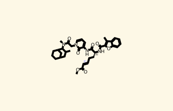 COC(=O)/C=C/CC[C@H](NC(=O)c1oc2ccccc2c1C)C(=O)Nc1cccn(CC(=O)N(C)C2C(C)CC3CCCC2C3)c1=O